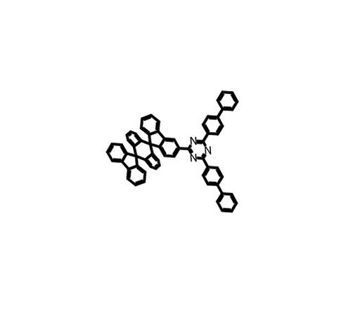 c1ccc(-c2ccc(-c3nc(-c4ccc(-c5ccccc5)cc4)nc(-c4ccc5c(c4)-c4ccccc4C54c5ccccc5C5(c6ccccc6-c6ccccc65)c5ccccc54)n3)cc2)cc1